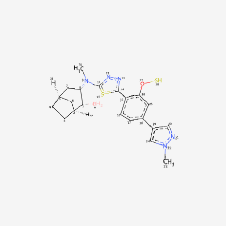 B[C@@H]1[C@H]2CC[C@H](C2)C[C@@H]1N(C)c1nnc(-c2ccc(-c3cnn(C)c3)cc2OS)s1